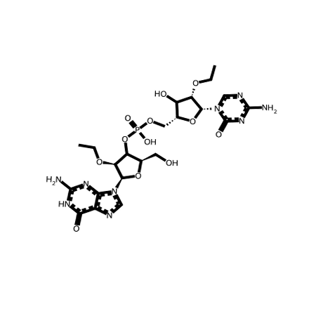 CCO[C@H]1C(O)[C@@H](COP(=O)(O)OC2[C@@H](CO)O[C@@H](n3cnc4c(=O)[nH]c(N)nc43)[C@H]2OCC)O[C@H]1n1cnc(N)nc1=O